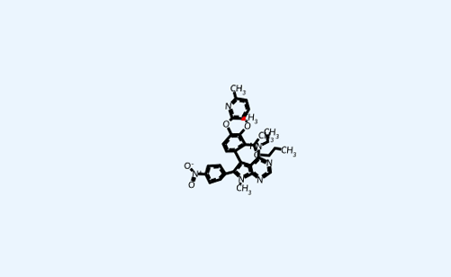 CCCOC(C)c1c(-c2c(-c3ccc([N+](=O)[O-])cc3)n(C)c3ncnc(NCC)c23)ccc(Oc2cccc(C)n2)c1OC